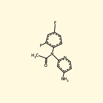 CC(=O)N(c1cc(N)ccn1)c1ccc(F)cc1F